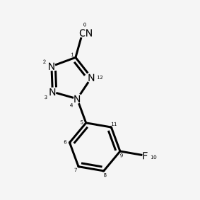 N#Cc1nnn(-c2cccc(F)c2)n1